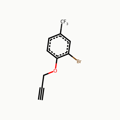 C#CCOc1ccc(C(F)(F)F)cc1Br